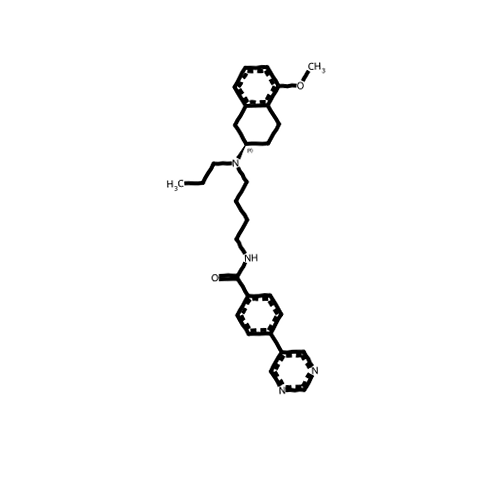 CCCN(CCCCNC(=O)c1ccc(-c2cncnc2)cc1)[C@@H]1CCc2c(cccc2OC)C1